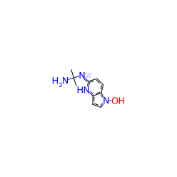 CC(C)(N)/N=c1/ccc2c(ccn2O)[nH]1